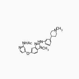 CC(=O)Nc1cc(Oc2ccc3c(c2)nc(Nc2cccc(C4CCN(C)CC4)c2)n3C)ccn1